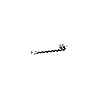 CCCCCCCCCCCCCCCCN1C=CC(C)(Br)N1